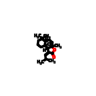 CC(C)/C=C1\C(=O)O[C@]2(C)CC[C@H]3C(C)(C)CCC[C@]3(C)[C@@H]12